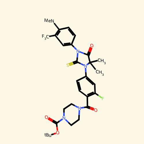 CNc1ccc(N2C(=O)C(C)(C)N(c3ccc(C(=O)N4CCN(C(=O)OC(C)(C)C)CC4)c(F)c3)C2=S)cc1C(F)(F)F